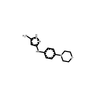 Nc1cc(Nc2ccc(N3CCOCC3)cc2)n[nH]1